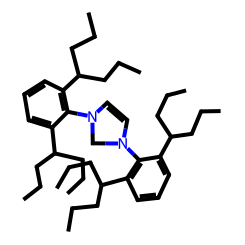 CCCC(CCC)c1cccc(C(CCC)CCC)c1N1C=CN(c2c(C(CCC)CCC)cccc2C(CCC)CCC)C1